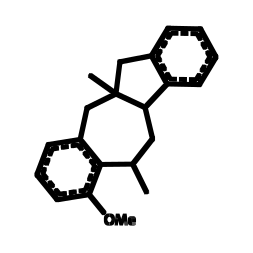 COc1cccc2c1C(C)CC1c3ccccc3CC1(C)C2